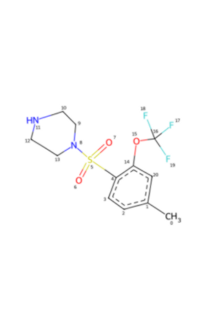 Cc1ccc(S(=O)(=O)N2CCNCC2)c(OC(F)(F)F)c1